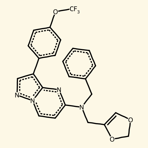 FC(F)(F)Oc1ccc(-c2cnn3ccc(N(CC4=COCO4)Cc4ccccc4)nc23)cc1